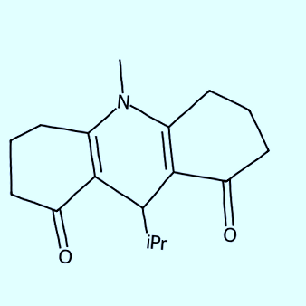 CC(C)C1C2=C(CCCC2=O)N(C)C2=C1C(=O)CCC2